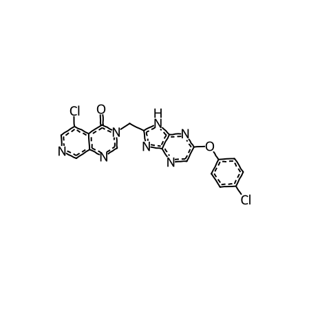 O=c1c2c(Cl)cncc2ncn1Cc1nc2ncc(Oc3ccc(Cl)cc3)nc2[nH]1